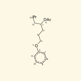 CC(=O)OC(CCCOc1ccccc1)CC(C)C